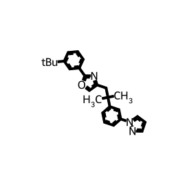 CC(C)(C)c1cccc(-c2nc(CC(C)(C)c3cccc(-n4cccn4)c3)co2)c1